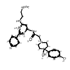 CC(=O)NCCNc1cc(NC(=O)CN2CCC(O)(c3ccc(Cl)cc3)CC2)nc(-c2ccccc2)n1